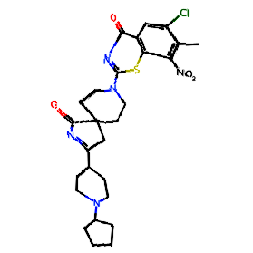 Cc1c(Cl)cc2c(=O)nc(N3CCC4(CC3)CC(C3CCN(C5CCCC5)CC3)=NC4=O)sc2c1[N+](=O)[O-]